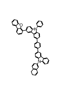 C1=Cc2cc(-n3c4ccccc4c4cc(-c5ccc(-c6ccc7c(c6)c6cc(-c8cccc9c8oc8ccccc89)ccc6n7-c6ccccc6)cc5)ccc43)ccc2CC1